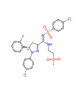 CS(=O)(=O)CCN/C(=N\S(=O)(=O)c1ccc(Cl)cc1)C1=NN(c2ccc(Cl)cc2)[C@@H](c2ccccc2F)C1